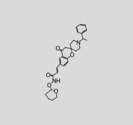 CC(c1ccccc1)N1CCC2(CC1)CC(=O)c1cc(/C=C/C(=O)NOC3CCCCO3)ccc1O2